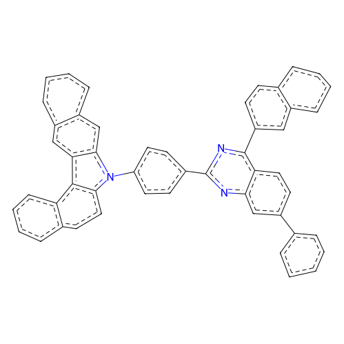 c1ccc(-c2ccc3c(-c4ccc5ccccc5c4)nc(-c4ccc(-n5c6cc7ccccc7cc6c6c7ccccc7ccc65)cc4)nc3c2)cc1